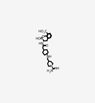 N=C(N)N1CCC(CNC2CCC(CC(=O)N[C@H]3Cc4cccc(C(=O)O)c4OB3O)CC2)CC1